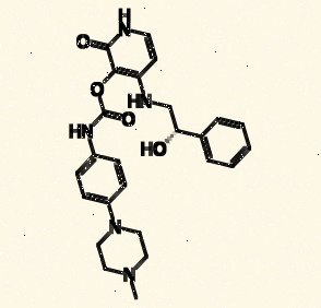 CN1CCN(c2ccc(NC(=O)Oc3c(NC[C@@H](O)c4ccccc4)cc[nH]c3=O)cc2)CC1